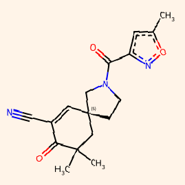 Cc1cc(C(=O)N2CC[C@@]3(C=C(C#N)C(=O)C(C)(C)C3)C2)no1